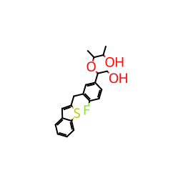 CC(O)C(C)OC(CO)c1ccc(F)c(Cc2cc3ccccc3s2)c1